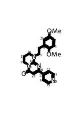 COc1ccc(OC)c(CCN2CCCn3c2nc(-c2ccncc2)cc3=O)c1